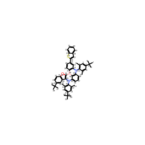 Cc1cc(C(C)(C)C)cc(C)c1N1c2cc(-c3cc4ccccc4s3)ccc2B2c3oc4ccc(C(C)(C)C)cc4c3N(c3c(C)cc(C(C)(C)C)cc3C)c3cccc1c32